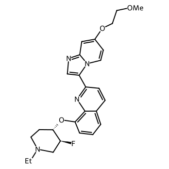 CCN1CC[C@H](Oc2cccc3ccc(-c4cnc5cc(OCCOC)ccn45)nc23)[C@@H](F)C1